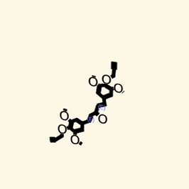 C#CCOc1c(OC)cc(/C=C/C(=O)/C=C/c2cc(OC)c(OCC#C)c(OC)c2)cc1OC